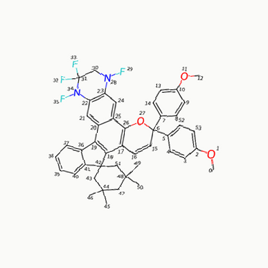 COc1ccc(C2(c3ccc(OC)cc3)C=Cc3c4c(c5cc6c(cc5c3O2)N(F)CC(F)(F)N6F)-c2ccccc2C42CC(C)(C)CC(C)(C)C2)cc1